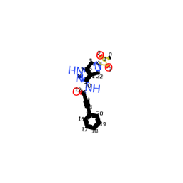 CS(=O)(=O)N1Cc2[nH]nc(NC(=O)C#Cc3ccccc3)c2C1